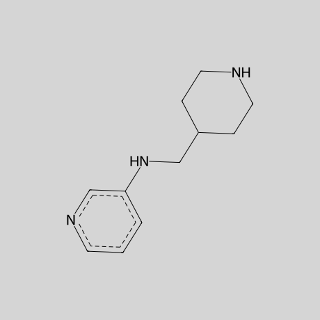 c1cncc(NCC2CCNCC2)c1